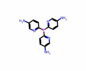 Nc1ccc(P(c2ccc(N)cn2)c2ccc(N)cn2)nc1